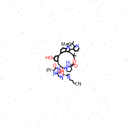 CCn1c(-c2cccnc2[C@H](C)OC)c2c3cc(ccc31)-c1cc(O)cc(c1)C[C@H](NC(=O)[C@H](C(C)C)N(C)C(=O)CN(C)C(=O)[C@H]1CN1CCCC#N)C(=O)N1CCC[C@H](N1)C(=O)OCC(C)(C)C2